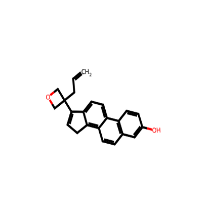 C=CCC1(C2=CCc3c2ccc2c3ccc3cc(O)ccc32)COC1